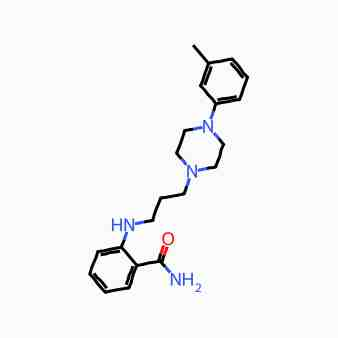 Cc1cccc(N2CCN(CCCNc3ccccc3C(N)=O)CC2)c1